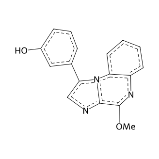 COc1nc2ccccc2n2c(-c3cccc(O)c3)cnc12